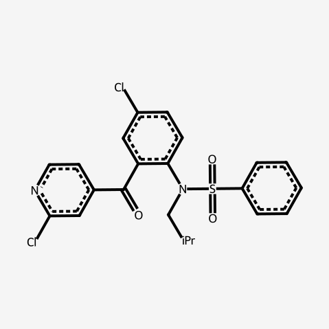 CC(C)CN(c1ccc(Cl)cc1C(=O)c1ccnc(Cl)c1)S(=O)(=O)c1ccccc1